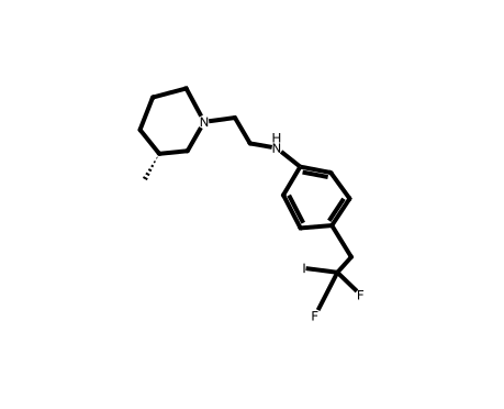 C[C@@H]1CCCN(CCNc2ccc(CC(F)(F)I)cc2)C1